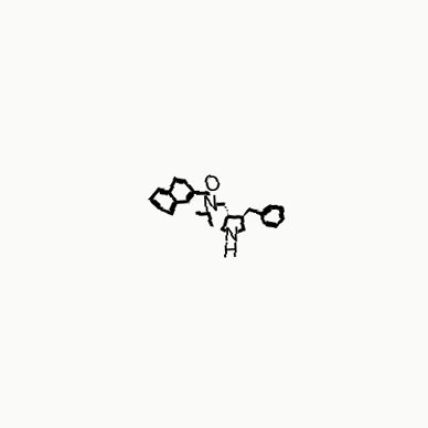 CC(C)N(C[C@H]1CNC[C@@H]1Cc1ccccc1)C(=O)c1ccc2ccccc2c1